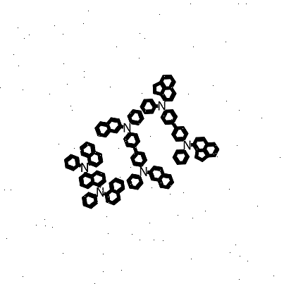 c1ccc(N(c2ccc(-c3ccc(N(c4ccccc4)c4ccc5cccc6c5c4CC6)cc3)cc2)c2ccc3cccc4c3c2CC4)cc1.c1ccc(N(c2ccc(-c3ccc(N(c4ccccc4)c4ccc5ccccc5c4)cc3)cc2)c2ccc3ccccc3c2)cc1.c1ccc(N(c2cccc3ccccc23)c2cccc3c(N(c4ccccc4)c4cccc5ccccc45)cccc23)cc1